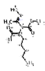 CSC(=O)N(/C(C)=N/O)[C@@H](CCCCN)C(=O)O